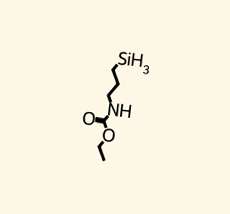 CCOC(=O)NCCC[SiH3]